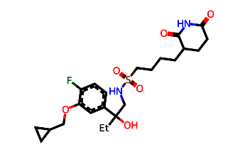 CCC(O)(CNS(=O)(=O)CCCCC1CCC(=O)NC1=O)c1ccc(F)c(OCC2CC2)c1